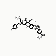 CCCC1(CCc2ccc(F)cc2)CC(O)=C(C(CC)c2cccc(NS(=O)(=O)c3ccc(C(N)=O)cn3)c2)C(=O)O1